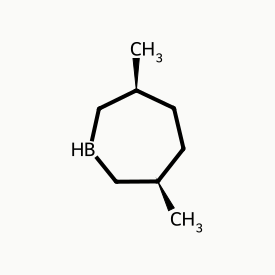 C[C@@H]1CBC[C@H](C)CC1